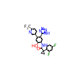 O=C(Nc1cc(-c2nnn[nH]2)c(-c2ccc(C(F)(F)F)nc2)cc1O)C1(c2ccc(F)cc2F)CC1